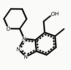 Cc1ccc2nnn(C3CCCCO3)c2c1CO